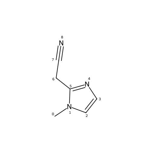 Cn1ccnc1CC#N